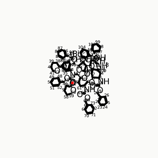 CC(C)(C[C@H]1[C@H](O[C@@H]2[C@H]3OC(=O)N[C@@H]3C[C@H](NC(=O)OCc3ccccc3)[C@H]2O[C@H]2O[C@H](CN(CCOC3CCCCO3)C(=O)OCc3ccccc3)[C@@H](OC3CCCCO3)C[C@H]2NC(=O)OCc2ccccc2)O[C@H](CO[Si](c2ccccc2)(c2ccccc2)C(C)(C)C)[C@H]1O)[Si](O)(c1ccccc1)c1ccccc1